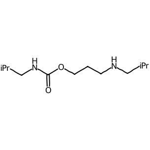 CC(C)CNCCCOC(=O)NCC(C)C